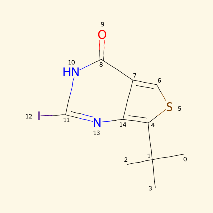 CC(C)(C)c1scc2c(=O)[nH]c(I)nc12